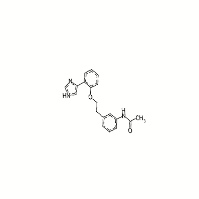 CC(=O)Nc1cccc(CCOc2ccccc2-c2c[nH]cn2)c1